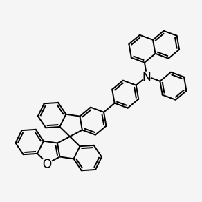 c1ccc(N(c2ccc(-c3ccc4c(c3)-c3ccccc3C43c4ccccc4-c4oc5ccccc5c43)cc2)c2cccc3ccccc23)cc1